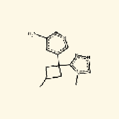 CC1CC(c2cncc(N)c2)(c2nncn2C)C1